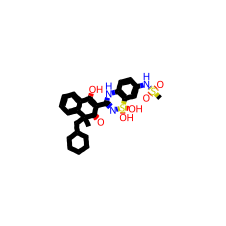 CC1(CC2CCCCC2)C(=O)C(C2=NS(O)(O)c3cc(NS(C)(=O)=O)ccc3N2)=C(O)c2ccccc21